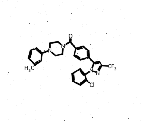 Cc1cccc(N2CCN(C(=O)c3ccc(-c4cc(C(F)(F)F)nn4-c4ccccc4Cl)cc3)CC2)c1